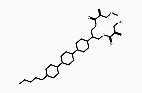 C=C(CO)C(=O)OCC(COC(=O)C(=C)COC)C1CCC(C2CCC(C3CCC(CCCCC)CC3)CC2)CC1